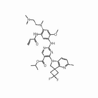 C=CC(=O)Nc1cc(Nc2ncc(C(=O)OC(C)C)c(N3CC4(CC(F)(F)C4)c4nc(C)ccc43)n2)c(OC)cc1N(C)CCN(C)C